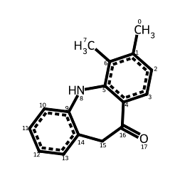 Cc1ccc2c(c1C)Nc1ccccc1CC2=O